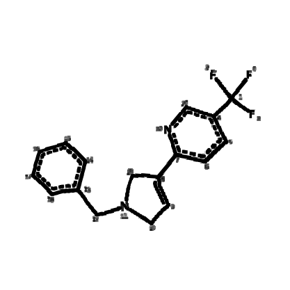 FC(F)(F)c1ccc(C2=CCN(Cc3ccccc3)C2)nc1